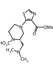 COC(=O)c1ncsc1N1CCN(C(=O)O)[C@H](CN(C)C)C1